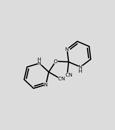 N#CC1(OC2(C#N)N=CC=CN2)N=CC=CN1